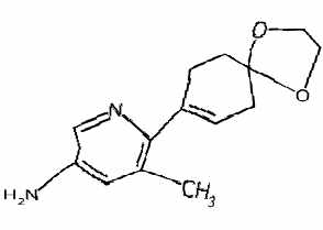 Cc1cc(N)cnc1C1=CCC2(CC1)OCCO2